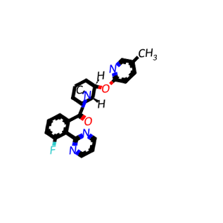 Cc1ccc(O[C@@H]2CC3CC[C@@H]2N(C(=O)c2cccc(F)c2-c2ncccn2)C3)nc1